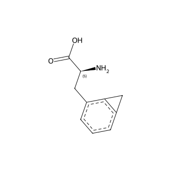 N[C@@H](Cc1cccc2c1C2)C(=O)O